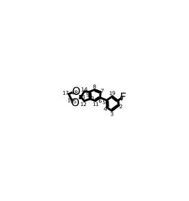 Fc1cccc(-c2ccc3c(c2)CC2(C3)OCCO2)c1